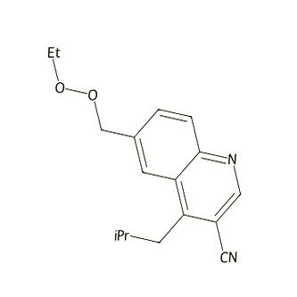 CCOOCc1ccc2ncc(C#N)c(CC(C)C)c2c1